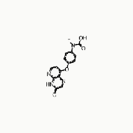 O=C(O)N(F)c1ccc(Oc2ccnc3[nH]c(=O)cnc23)cc1